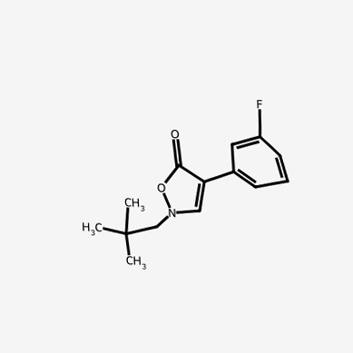 CC(C)(C)Cn1cc(-c2cccc(F)c2)c(=O)o1